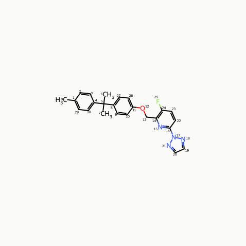 Cc1ccc(C(C)(C)c2ccc(OCc3nc(-n4nccn4)ccc3F)cc2)cc1